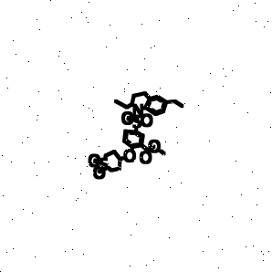 CCc1ccc2c(c1)CCC(CC)N2S(=O)(=O)c1ccc(OC2CCS(=O)(=O)CC2)c(C(=O)OC)c1